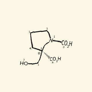 O=C(O)N1CCC[C@@]1(CO)C(=O)O